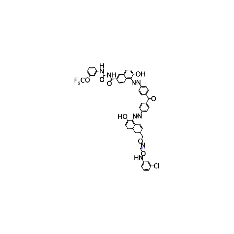 O=C(NC(=O)c1ccc2c(N=Nc3ccc(C(=O)c4ccc(N=Nc5c(O)ccc6cc(CO/N=C/ONc7cccc(Cl)c7)ccc56)cc4)cc3)c(O)ccc2c1)Nc1cccc(OC(F)(F)F)c1